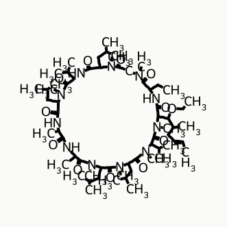 C/C=C/CC(C)C(OCC)C1C(=O)NC(CC)C(=O)N(C)CC(=O)N(C)C(CC(C)C)C(=O)NC(C(C)C)C(=O)N(C)C(CC(C)C)C(=O)NC(C)C(=O)NC(C)C(=O)N(C)C(CC(C)C)C(=O)N(C)C(CC(C)C)C(=O)N(C)C(C(C)C)C(=O)N1C